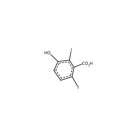 O=C(O)c1c(I)ccc(O)c1I